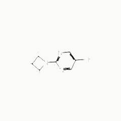 Clc1cnc(N2CCC2)nc1